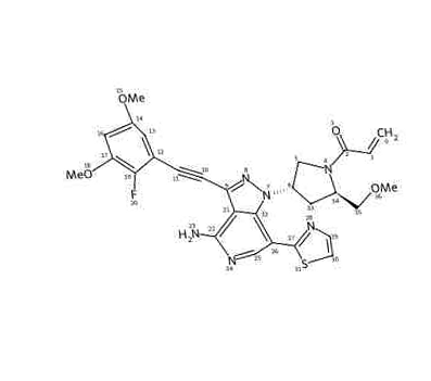 C=CC(=O)N1C[C@@H](n2nc(C#Cc3cc(OC)cc(OC)c3F)c3c(N)ncc(-c4nccs4)c32)C[C@@H]1COC